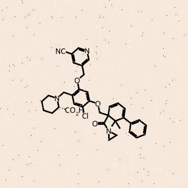 CC1(C)C(c2ccccc2)=CC=CC1(COc1cc(OCc2cncc(C#N)c2)c(CN2CCCC[C@H]2C(=O)O)cc1Cl)C(=O)N1CC1